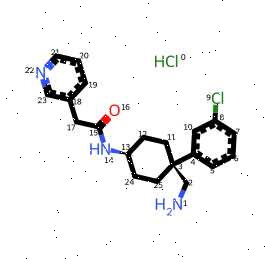 Cl.NC[C@]1(c2cccc(Cl)c2)CC[C@H](NC(=O)Cc2cccnc2)CC1